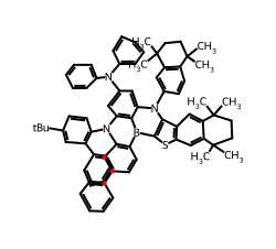 CC(C)(C)c1ccc(N2c3cc(-c4ccccc4)ccc3B3c4sc5cc6c(cc5c4N(c4ccc5c(c4)C(C)(C)CCC5(C)C)c4cc(N(c5ccccc5)c5ccccc5)cc2c43)C(C)(C)CCC6(C)C)c(-c2ccccc2)c1